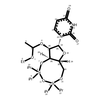 CCOC(C)O[C@@H]1[C@@H]2O[Si](C(C)C)(C(C)C)O[Si](C(C)C)(C(C)C)OC[C@H]2O[C@H]1n1ccc(=O)[nH]c1=O